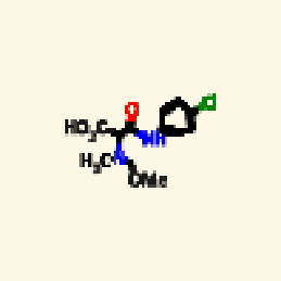 COCN(C)C(C(=O)O)C(=O)Nc1ccc(Cl)cc1